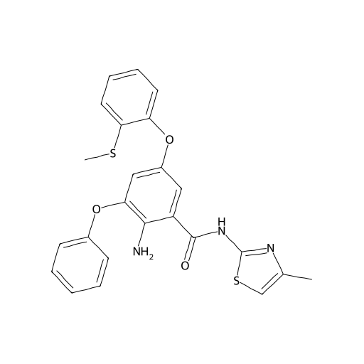 CSc1ccccc1Oc1cc(Oc2ccccc2)c(N)c(C(=O)Nc2nc(C)cs2)c1